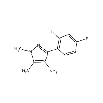 Cc1c(-c2ccc(F)cc2F)nn(C)c1N